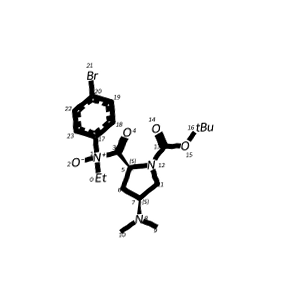 CC[N+]([O-])(C(=O)[C@@H]1C[C@H](N(C)C)CN1C(=O)OC(C)(C)C)c1ccc(Br)cc1